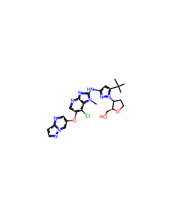 Cn1c(Nc2cc(C(C)(C)C)n(C3CCO[C@H]3CO)n2)nc2ncc(Oc3cnc4ccnn4c3)c(Cl)c21